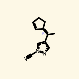 C/C(=C1/C=CCC1)c1cnn(C#N)c1